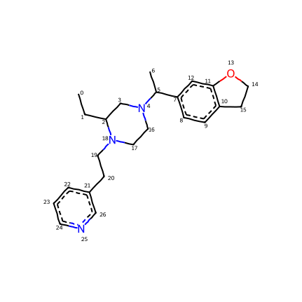 CCC1CN(C(C)c2ccc3c(c2)OCC3)CCN1CCc1cccnc1